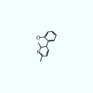 CC1=NC(C)[C](c2ccccc2Cl)C=C1